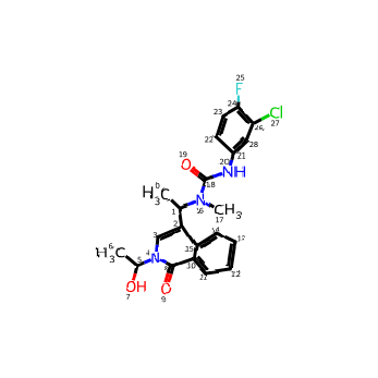 CC(c1cn(C(C)O)c(=O)c2ccccc12)N(C)C(=O)Nc1ccc(F)c(Cl)c1